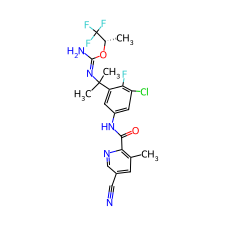 Cc1cc(C#N)cnc1C(=O)Nc1cc(Cl)c(F)c(C(C)(C)/N=C(/N)O[C@@H](C)C(F)(F)F)c1